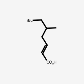 CCC(C)CC(C)CC=CC(=O)O